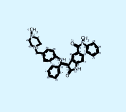 CN1CCN(Cc2ccc(NC(=C3C(=O)Nc4ccc(C(=O)N(C)c5ccccc5)cc43)c3ccccc3)cc2)CC1